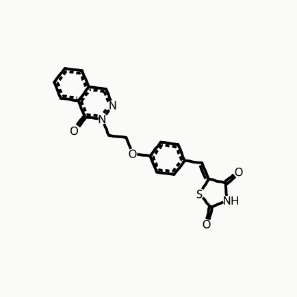 O=C1NC(=O)C(=Cc2ccc(OCCn3ncc4ccccc4c3=O)cc2)S1